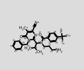 Cc1c(C#N)nc(C(C(C)C)N(CCCN)C(=O)c2ccc(C(F)(F)F)cc2)n(Cc2ccccc2)c1=O